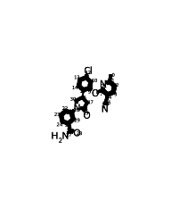 Cc1ccc(C#N)c(Oc2cc(Cl)ccc2[C@H]2CC(=O)N(c3cccc(C(N)=O)c3)C2)n1